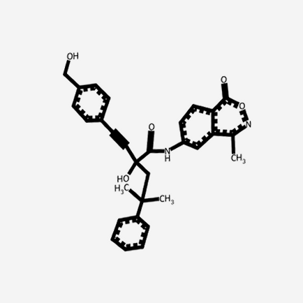 Cc1noc(=O)c2ccc(NC(=O)C(O)(C#Cc3ccc(CO)cc3)CC(C)(C)c3ccccc3)cc12